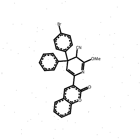 COC1=NC(c2cc3ccccc3oc2=O)=CC(c2ccccc2)(c2ccc(Br)cc2)C1C#N